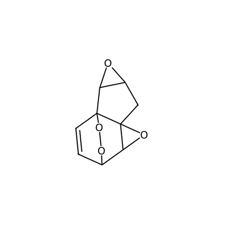 C1=CC23OOC1C1OC12CC1OC13